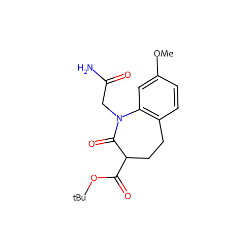 COc1ccc2c(c1)N(CC(N)=O)C(=O)C(C(=O)OC(C)(C)C)CC2